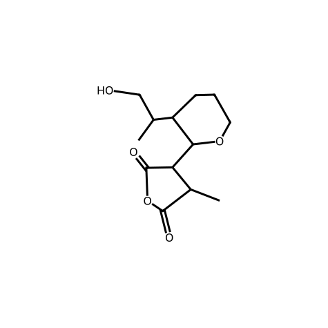 CC(CO)C1CCCOC1C1C(=O)OC(=O)C1C